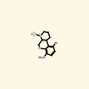 COc1ccc(Br)c2c1OCC1C2CCCN1C